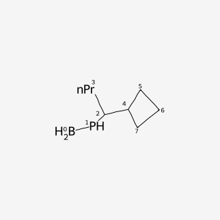 BPC(CCC)C1CCC1